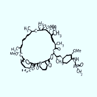 CO[C@H]1C[C@@H]2CC[C@@H](C)[C@@](O)(O2)C(=O)C(=O)N2CCCCC2C(=O)O[C@H]([C@H](C)C[C@@H]2CCC(NC[PH](C)=O)[C@H](OC)C2)CC(=O)[C@H](C)/C=C(\C)[C@@H](O)[C@@H](OC)C(=O)[C@H](C)C[C@H](C)/C=C/C=C/C=C/1C